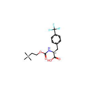 C[Si](C)(C)CCOC(=O)N[C@@H](Cc1ccc(C(F)(F)F)cc1)C(=O)O